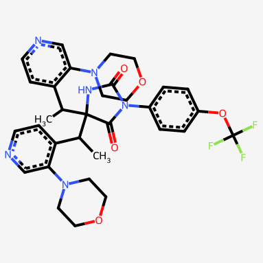 CC(c1ccncc1N1CCOCC1)C1(C(C)c2ccncc2N2CCOCC2)NC(=O)N(c2ccc(OC(F)(F)F)cc2)C1=O